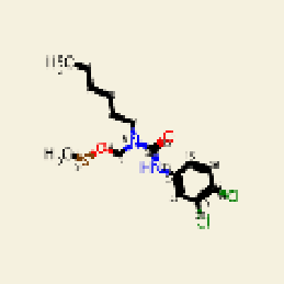 CCCCCCN(COSC)C(=O)Nc1ccc(Cl)c(Cl)c1